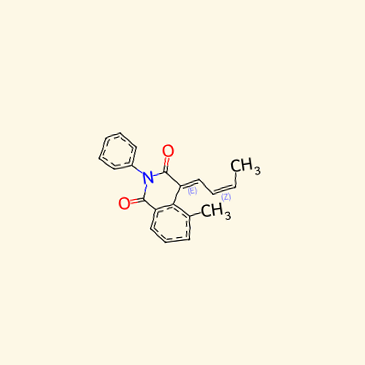 C/C=C\C=C1\C(=O)N(c2ccccc2)C(=O)c2cccc(C)c21